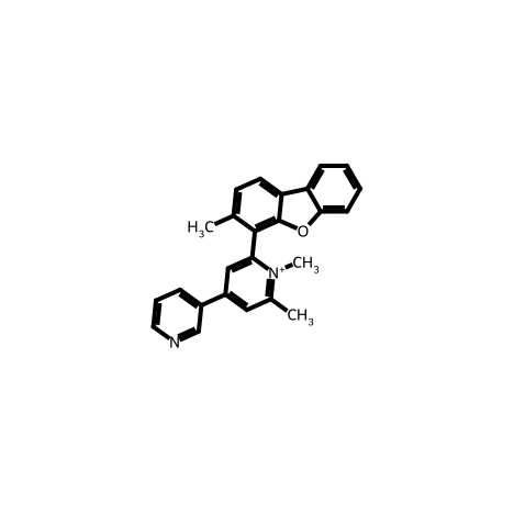 Cc1ccc2c(oc3ccccc32)c1-c1cc(-c2cccnc2)cc(C)[n+]1C